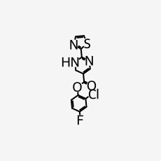 O=C(Oc1ccc(F)cc1Cl)C1=CN=C(c2nccs2)NC1